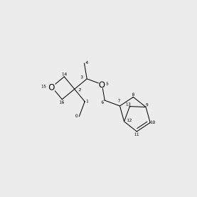 CCC1(C(C)OCC2CC3C=CC2C3)COC1